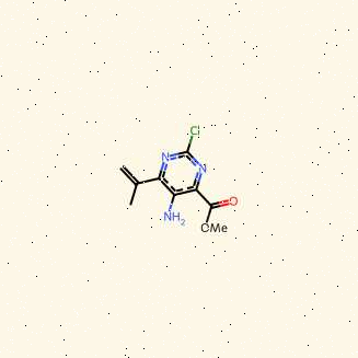 C=C(C)c1nc(Cl)nc(C(=O)OC)c1N